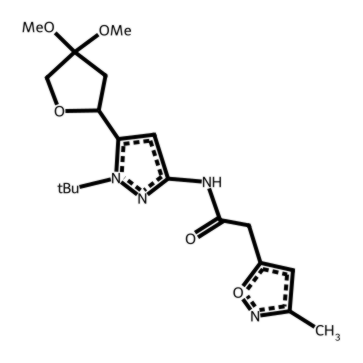 COC1(OC)COC(c2cc(NC(=O)Cc3cc(C)no3)nn2C(C)(C)C)C1